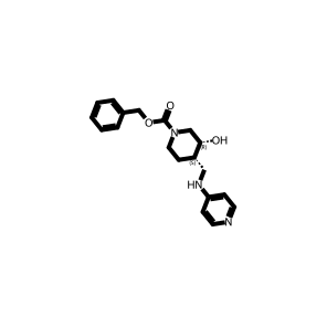 O=C(OCc1ccccc1)N1CC[C@@H](CNc2ccncc2)[C@@H](O)C1